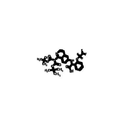 CC(C)(C)OC(=O)N(C(=O)OC(C)(C)C)c1nccc2cc(NC(C(=O)O)c3ccccc3OC(F)(F)C(F)F)ccc12